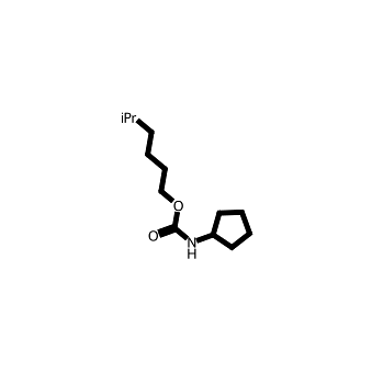 CC(C)CCCCOC(=O)NC1CCCC1